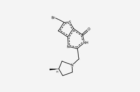 C[C@@H]1CCN(Cc2nc3cc(Br)sc3c(=O)[nH]2)C1